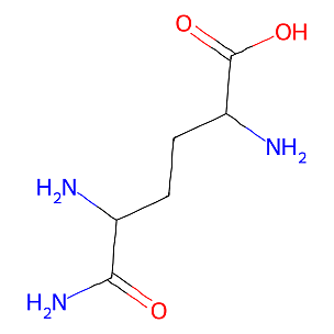 NC(=O)C(N)CCC(N)C(=O)O